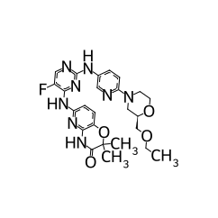 CCOC[C@H]1CN(c2ccc(Nc3ncc(F)c(Nc4ccc5c(n4)NC(=O)C(C)(C)O5)n3)cn2)CCO1